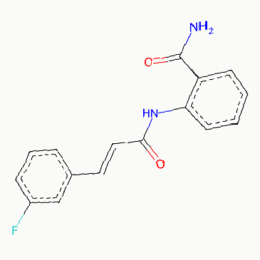 NC(=O)c1ccccc1NC(=O)C=Cc1cccc(F)c1